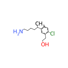 CC(CCCCN)c1ccc(Cl)c(CCO)c1